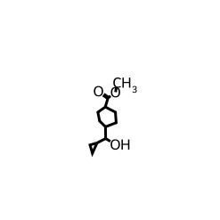 COC(=O)C1CCC(C(O)C2CC2)CC1